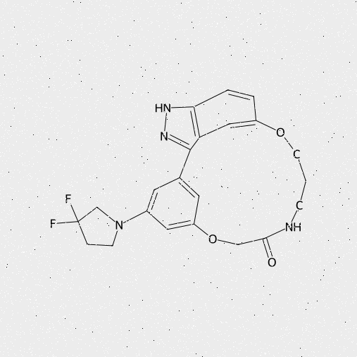 O=C1COc2cc(cc(N3CCC(F)(F)C3)c2)-c2n[nH]c3ccc(cc23)OCCCN1